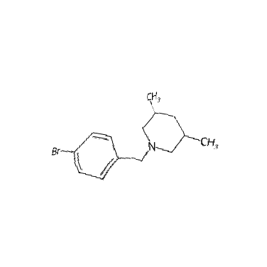 CC1CC(C)CN(Cc2ccc(Br)cc2)C1